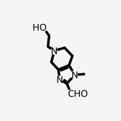 Cn1c(C=O)nc2c1CCN(CCO)C2